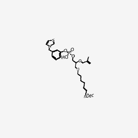 C=C(C)COC(COCCCCCCCCCCCCCCCC)COP(=O)(O)Oc1cccc(CN2C=CSC2)c1